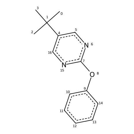 CC(C)(C)c1cnc(Oc2ccccc2)nc1